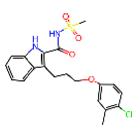 Cc1cc(OCCCc2c(C(=O)NS(C)(=O)=O)[nH]c3ccccc23)ccc1Cl